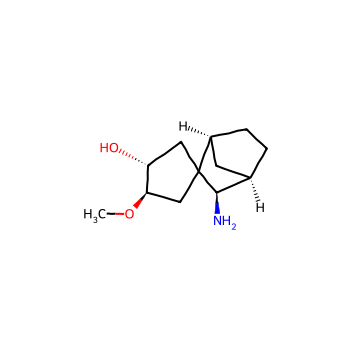 CO[C@@H]1CC2(C[C@H]1O)[C@H]1CC[C@H](C1)[C@H]2N